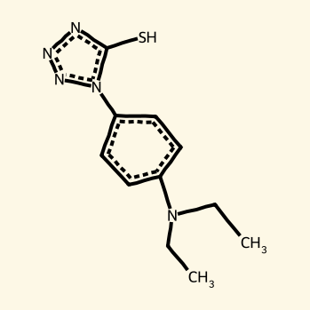 CCN(CC)c1ccc(-n2nnnc2S)cc1